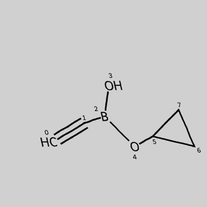 C#CB(O)OC1CC1